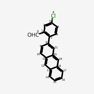 O=Cc1cc(Cl)ccc1-c1ccc2cc3ccccc3cc2c1